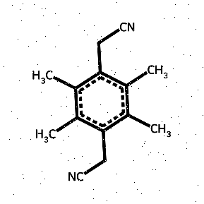 Cc1c(C)c(CC#N)c(C)c(C)c1CC#N